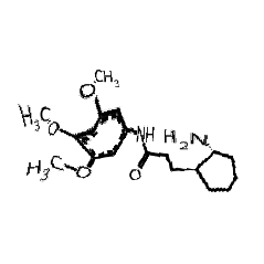 COc1cc(NC(=O)CC[C@@H]2CCCC[C@H]2N)cc(OC)c1OC